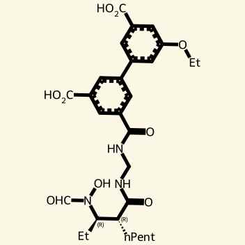 CCCCC[C@@H](C(=O)NCNC(=O)c1cc(C(=O)O)cc(-c2cc(OCC)cc(C(=O)O)c2)c1)[C@@H](CC)N(O)C=O